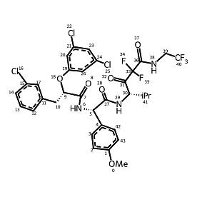 COc1ccc([C@H](NC(=O)[C@H](Cc2cccc(Cl)c2)Oc2cc(Cl)cc(Cl)c2)C(=O)N[C@H](C(=O)C(F)(F)C(=O)NCC(F)(F)F)C(C)C)cc1